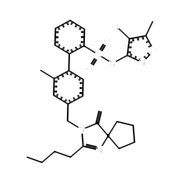 CCCCC1=NC2(CCCC2)C(=O)N1Cc1ccc(-c2ccccc2S(=O)(=O)Nc2noc(C)c2Cl)c(C)c1